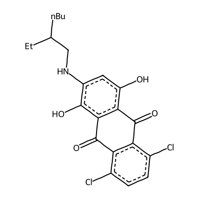 CCCCC(CC)CNc1cc(O)c2c(c1O)C(=O)c1c(Cl)ccc(Cl)c1C2=O